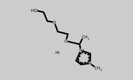 CC(OCCOCCO)[n+]1ccn(C)c1.I